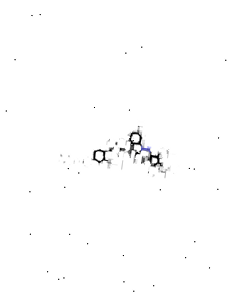 COc1ccc(C(=O)NC(=O)NN2C(=O)/C(=C\c3[nH]c(C)c(C(=O)O)c3C)c3cc(F)ccc32)c(F)c1